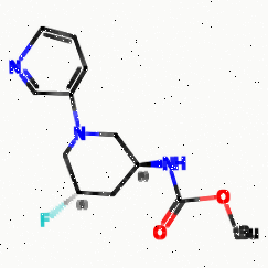 CC(C)(C)OC(=O)N[C@H]1C[C@H](F)CN(c2cccnc2)C1